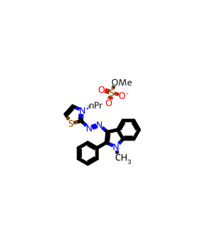 CCC[n+]1ccsc1N=Nc1c(-c2ccccc2)n(C)c2ccccc12.COS(=O)(=O)[O-]